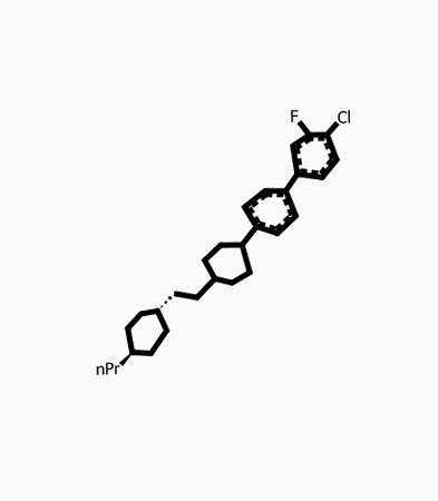 CCC[C@H]1CC[C@H](CCC2CCC(c3ccc(-c4ccc(Cl)c(F)c4)cc3)CC2)CC1